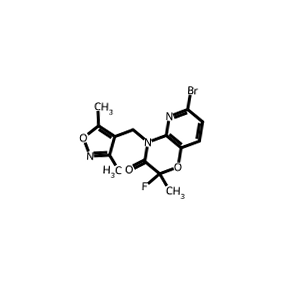 Cc1noc(C)c1CN1C(=O)C(C)(F)Oc2ccc(Br)nc21